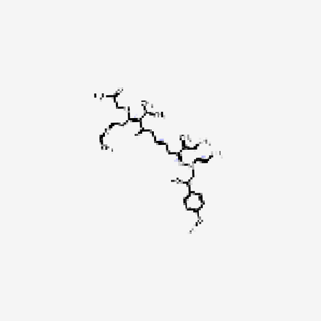 C=CC(=C)/C(C/C=C/CC(=O)/C(=C(\CC=C=CC)OCC(C)=O)C(C)C)=N\N(/C=C/C)C[C@H](O)c1ccc(OC)cc1